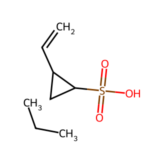 C=CC1CC1S(=O)(=O)O.CCC